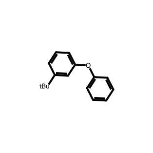 CC(C)(C)c1cccc(Oc2ccccc2)c1